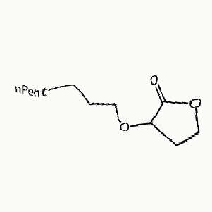 CCCCCCCCOC1CCOC1=O